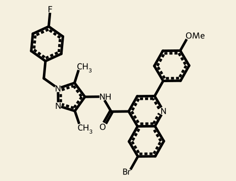 COc1ccc(-c2cc(C(=O)Nc3c(C)nn(Cc4ccc(F)cc4)c3C)c3cc(Br)ccc3n2)cc1